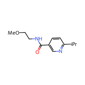 COCCNC(=O)c1ccc(C(C)C)nc1